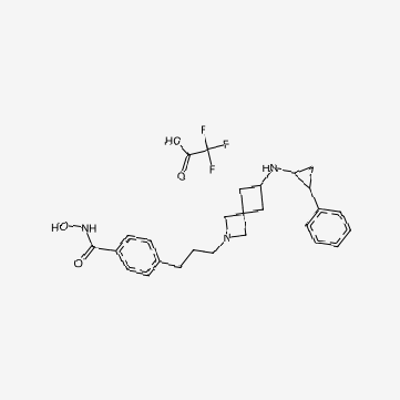 O=C(NO)c1ccc(CCCN2CC3(CC(NC4CC4c4ccccc4)C3)C2)cc1.O=C(O)C(F)(F)F